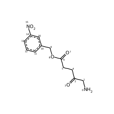 NCC(=O)CCC(=O)OCc1cccc([N+](=O)[O-])c1